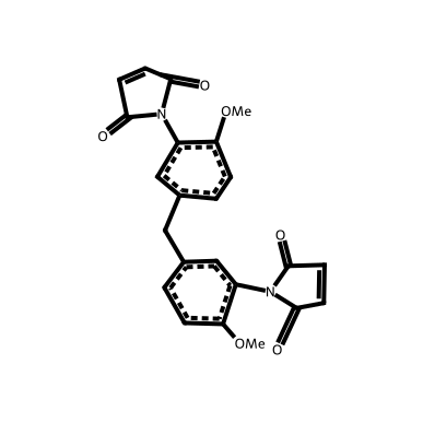 COc1ccc(Cc2ccc(OC)c(N3C(=O)C=CC3=O)c2)cc1N1C(=O)C=CC1=O